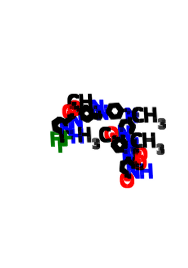 COc1cc2nn([C@H]3CC[C@H](CN(C)C4CCN(c5c(OC)ccc6c5n(C)c(=O)n6C5CCC(=O)NC5=O)CC4)CC3)cc2cc1NC(=O)c1cccc(C(F)(F)F)n1